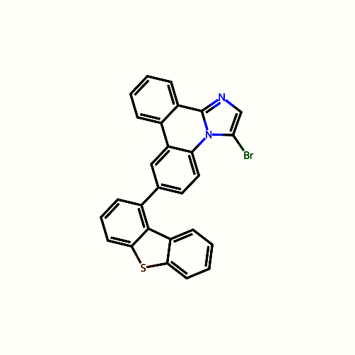 Brc1cnc2c3ccccc3c3cc(-c4cccc5sc6ccccc6c45)ccc3n12